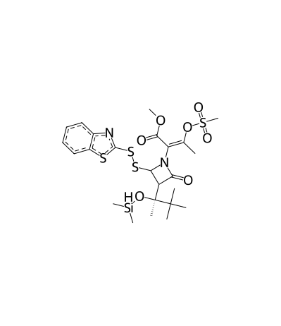 COC(=O)/C(=C(/C)OS(C)(=O)=O)N1C(=O)C([C@](C)(O[SiH](C)C)C(C)(C)C)C1SSc1nc2ccccc2s1